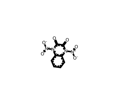 O=c1c(=O)n([N+](=O)[O-])c2ccccc2n1[N+](=O)[O-]